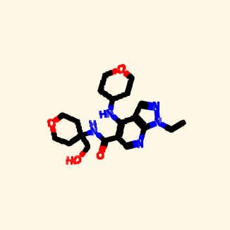 CCn1ncc2c(NC3CCOCC3)c(C(=O)NC3(CO)CCOCC3)cnc21